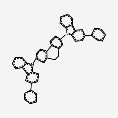 c1ccc(-c2ccc3c(c2)c2ccccc2n3-c2ccc3c(c2)CCc2cc(-n4c5ccccc5c5cc(-c6ccccc6)ccc54)ccc2-3)cc1